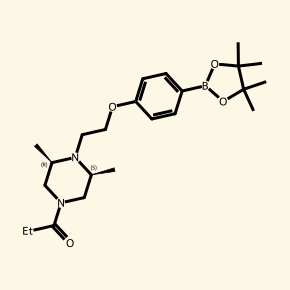 CCC(=O)N1C[C@@H](C)N(CCOc2ccc(B3OC(C)(C)C(C)(C)O3)cc2)[C@@H](C)C1